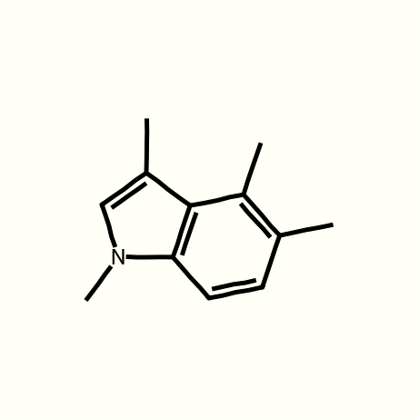 Cc1ccc2c(c(C)cn2C)c1C